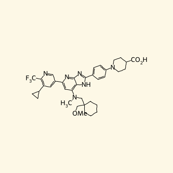 COCC1(CN(C)c2cc(-c3cnc(C(F)(F)F)c(C4CC4)c3)nc3nc(-c4ccc(N5CCC(C(=O)O)CC5)cc4)[nH]c23)CCCCC1